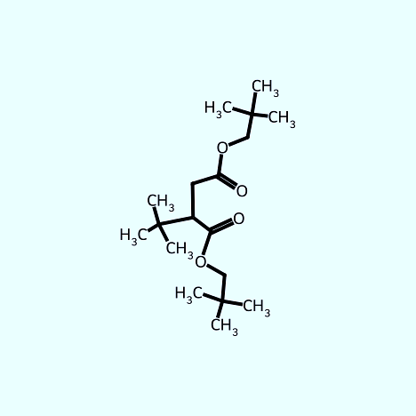 CC(C)(C)COC(=O)CC(C(=O)OCC(C)(C)C)C(C)(C)C